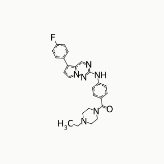 CCN1CCN(C(=O)c2ccc(Nc3ncc4c(-c5ccc(F)cc5)ccn4n3)cc2)CC1